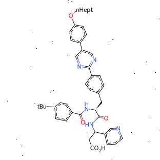 CCCCCCCOc1ccc(-c2cnc(-c3ccc(C[C@H](NC(=O)c4ccc(C(C)(C)C)cc4)C(=O)NC(CC(=O)O)c4cccnc4)cc3)nc2)cc1